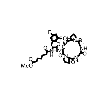 COC(=O)CCCCCC(=O)N[C@@H](Cc1cc(F)cc(F)c1)C(=O)N[C@H]1COC(=O)[C@@H]2CCCN2C(=O)[C@H](C)NC(=O)[C@H](C)N(C)C(=O)[C@@H]2CCCN2C1=O